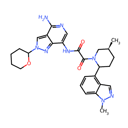 C[C@H]1CCC(c2cccc3c2cnn3C)N(C(=O)C(=O)Nc2cnc(N)c3cn(C4CCCCO4)nc23)C1